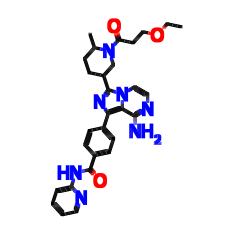 CCOCCC(=O)N1CC(c2nc(-c3ccc(C(=O)Nc4ccccn4)cc3)c3c(N)nccn23)CCC1C